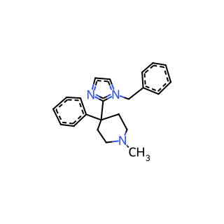 CN1CCC(c2ccccc2)(c2nccn2Cc2ccccc2)CC1